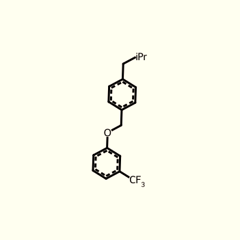 CC(C)Cc1ccc(COc2cccc(C(F)(F)F)c2)cc1